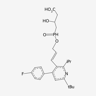 CC(C)c1nc(C(C)(C)C)cc(-c2ccc(F)cc2)c1C=CCO[PH](=O)CC(O)CC(=O)O